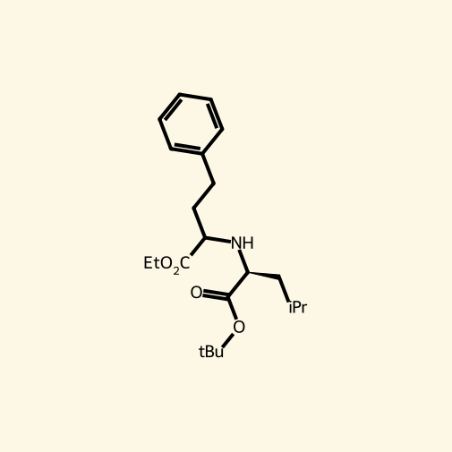 CCOC(=O)C(CCc1ccccc1)N[C@@H](CC(C)C)C(=O)OC(C)(C)C